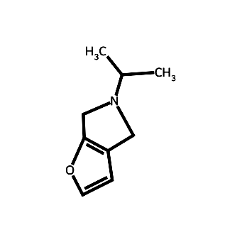 CC(C)N1Cc2ccoc2C1